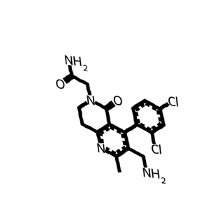 Cc1nc2c(c(-c3ccc(Cl)cc3Cl)c1CN)C(=O)N(CC(N)=O)CC2